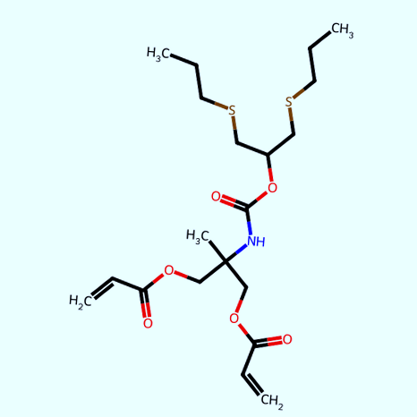 C=CC(=O)OCC(C)(COC(=O)C=C)NC(=O)OC(CSCCC)CSCCC